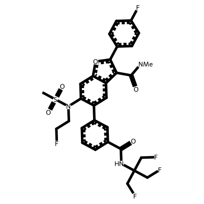 CNC(=O)c1c(-c2ccc(F)cc2)oc2cc(N(CCF)S(C)(=O)=O)c(-c3cccc(C(=O)NC(CF)(CF)CF)c3)cc12